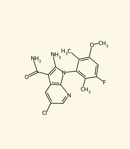 COc1cc(F)c(C)c(-n2c(N)c(C(N)=O)c3cc(Cl)cnc32)c1C